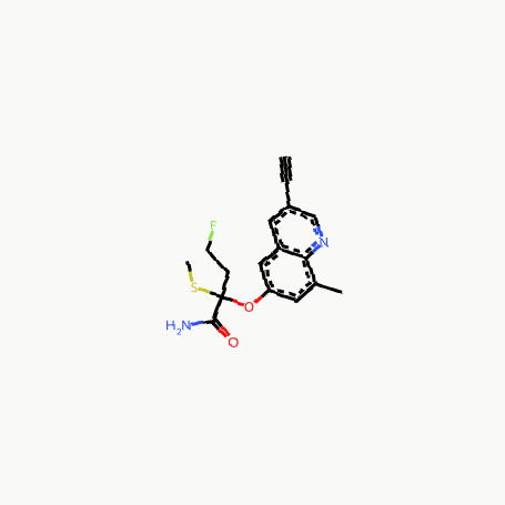 C#Cc1cnc2c(C)cc(OC(CCF)(SC)C(N)=O)cc2c1